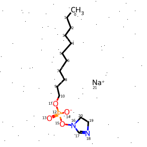 CCCCCCCCCCCOP(=O)([O-])ON1C=NCC1.[Na+]